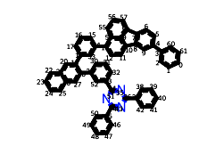 c1ccc(-c2ccc3c(c2)-c2ccc(-c4cccc(-c5cc6ccccc6cc5-c5cccc(-c6nc(-c7ccccc7)nc(-c7ccccc7)n6)c5)c4)c4cccc-3c24)cc1